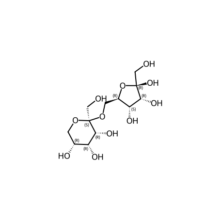 OC[C@@]1(OC[C@H]2O[C@](O)(CO)[C@H](O)[C@@H]2O)OC[C@@H](O)[C@@H](O)[C@H]1O